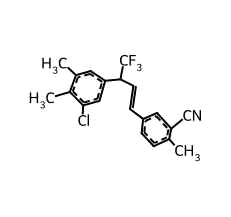 Cc1ccc(/C=C/C(c2cc(C)c(C)c(Cl)c2)C(F)(F)F)cc1C#N